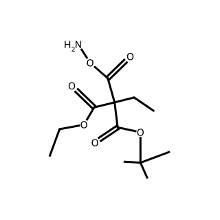 CCOC(=O)C(CC)(C(=O)ON)C(=O)OC(C)(C)C